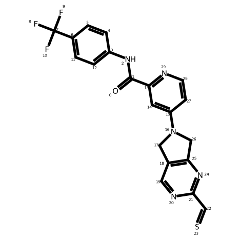 O=C(Nc1ccc(C(F)(F)F)cc1)c1cc(N2Cc3cnc(C=S)nc3C2)ccn1